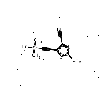 Cc1nc(C#N)c(C#C[Si](C)(C)C)s1